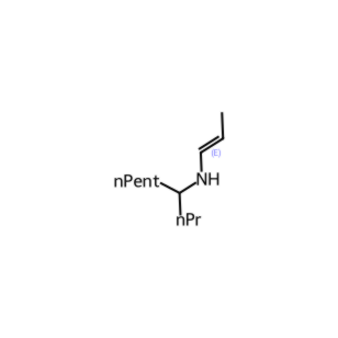 C/C=C/NC(CCC)CCCCC